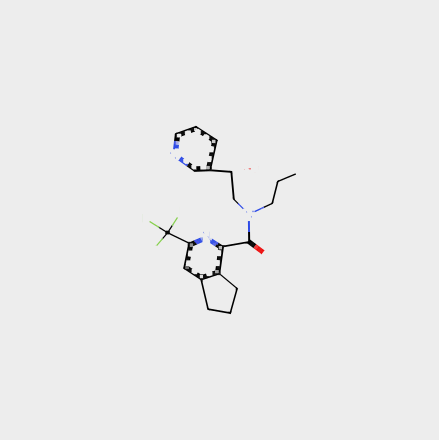 CCCN(C[C@@H](O)c1cccnc1)C(=O)c1nc(C(F)(F)F)cc2c1CCC2